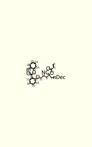 C=CC(=O)OC(C#N)(CCCCCCCCCCC)CCCOc1ccccc1C(=O)Oc1cc[c]cc1F